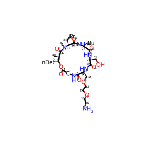 CCCCCCCCCC[C@H]1OC(=O)CNC(=O)[C@H](COCCOCCN)NC(=O)[C@H](CO)NC(=O)[C@H](C(C)CC)NC(=O)[C@H](CC(C)C)N(C)C(=O)[C@@H]1C